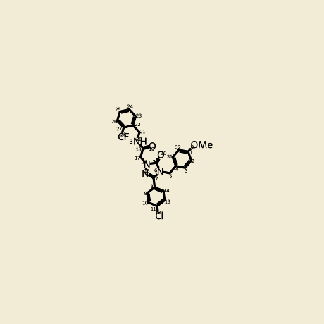 COc1ccc(Cn2c(-c3ccc(Cl)cc3)nn(CC(=O)NCc3ccccc3C(F)(F)F)c2=O)cc1